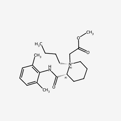 CCCC[N@+]1(CC(=O)OC)CCCC[C@@H]1C(=O)Nc1c(C)cccc1C